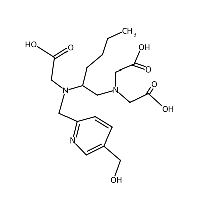 CCCCC(CN(CC(=O)O)CC(=O)O)N(CC(=O)O)Cc1ccc(CO)cn1